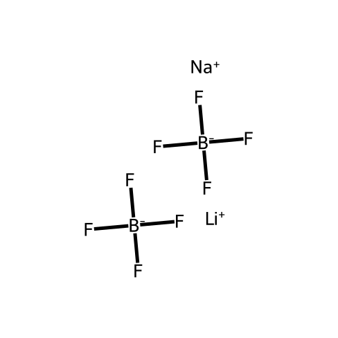 F[B-](F)(F)F.F[B-](F)(F)F.[Li+].[Na+]